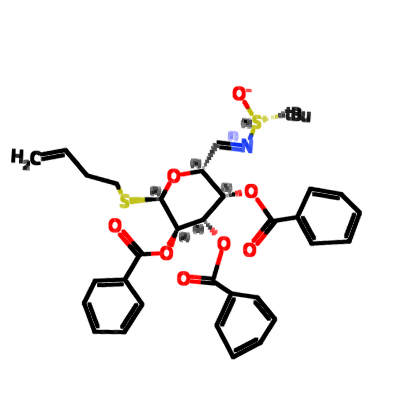 C=CCCS[C@H]1O[C@H](/C=N/[S@+]([O-])C(C)(C)C)[C@H](OC(=O)c2ccccc2)[C@H](OC(=O)c2ccccc2)[C@H]1OC(=O)c1ccccc1